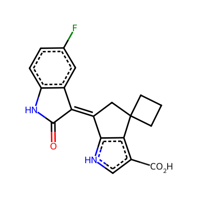 O=C1Nc2ccc(F)cc2/C1=C1\CC2(CCC2)c2c(C(=O)O)c[nH]c21